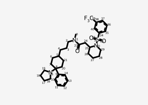 CN(CCCC1CCC(c2ccccc2)(N2CCCC2)CC1)C(=O)CC1CCCCN1S(=O)(=O)c1cccc(C(F)(F)F)c1